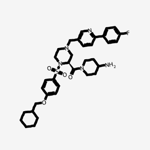 NC1CCN(C(=O)[C@@H]2CN(Cc3ccc(-c4ccc(F)cc4)nc3)CCN2S(=O)(=O)c2ccc(OCC3CCCCC3)cc2)CC1